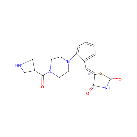 O=C1NC(=O)/C(=C/c2ccccc2N2CCN(C(=O)C3CNC3)CC2)S1